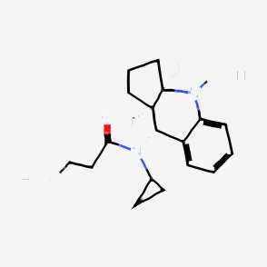 O=C(O)CCC(=O)N(C1CC1)[C@H]1c2ccccc2N(C(=O)O)[C@@H]2CCC[C@@H]21